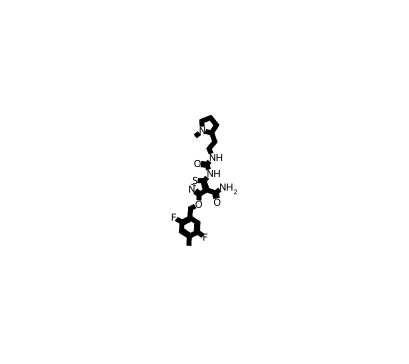 Cc1cc(F)c(COc2nsc(NC(=O)NCCC3CCCN3C)c2C(N)=O)cc1F